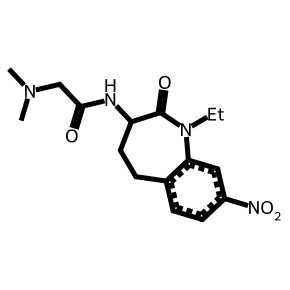 CCN1C(=O)C(NC(=O)CN(C)C)CCc2ccc([N+](=O)[O-])cc21